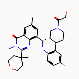 Cc1cc([C@@H](C)Nc2ccc(F)cc2C2CCN(C(=O)CO)CC2)c2nc(C3(C)CCOCC3)n(C)c(=O)c2c1